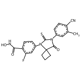 Cc1cc(N2C(=O)C3(CCC3)N(c3ccc(C(=O)NO)c(F)c3)C2=S)ccc1C#N